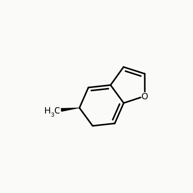 C[C@H]1C=c2ccoc2=CC1